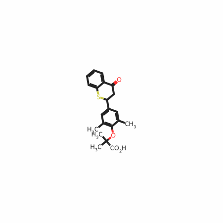 Cc1cc(C2CC(=O)c3ccccc3S2)cc(C)c1OC(C)(C)C(=O)O